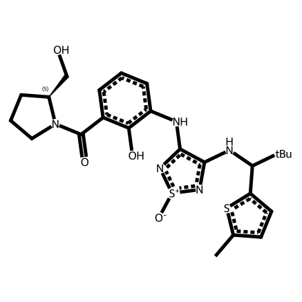 Cc1ccc(C(Nc2n[s+]([O-])nc2Nc2cccc(C(=O)N3CCC[C@H]3CO)c2O)C(C)(C)C)s1